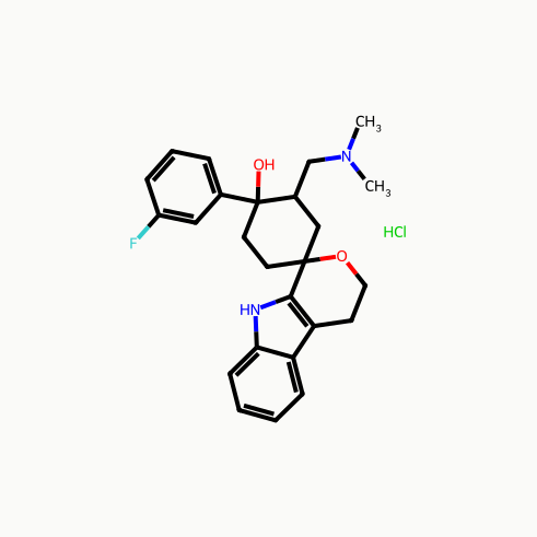 CN(C)CC1CC2(CCC1(O)c1cccc(F)c1)OCCc1c2[nH]c2ccccc12.Cl